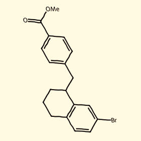 COC(=O)c1ccc(CC2CCCc3ccc(Br)cc32)cc1